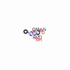 COC(=O)N1C[C@@H](OC(=O)N(C)C)C[C@H](C(=O)NO)[C@H]1C(=O)N1CCN(c2ccccc2)CC1